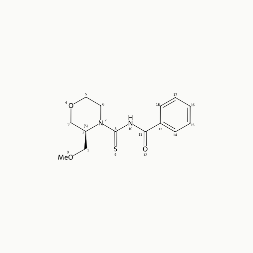 COC[C@H]1COCCN1C(=S)NC(=O)c1ccccc1